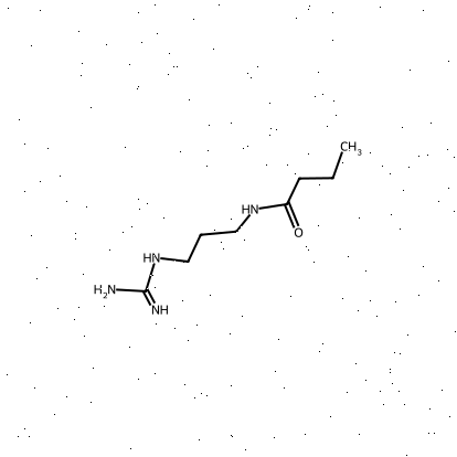 CCCC(=O)NCCCNC(=N)N